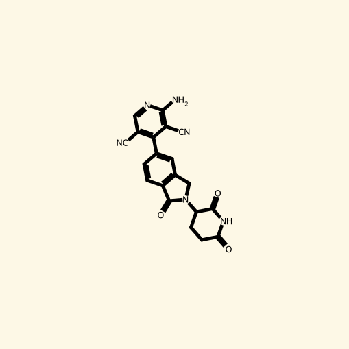 N#Cc1cnc(N)c(C#N)c1-c1ccc2c(c1)CN(C1CCC(=O)NC1=O)C2=O